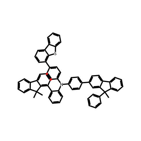 CC1(C)c2ccccc2-c2cccc(-c3ccccc3N(c3ccc(-c4ccc5c(c4)C(C)(c4ccccc4)c4ccccc4-5)cc3)c3ccc(-c4cccc5c4sc4ccccc45)cc3)c21